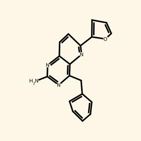 Nc1nc(Cc2ccccc2)c2nc(-c3ccco3)ccc2n1